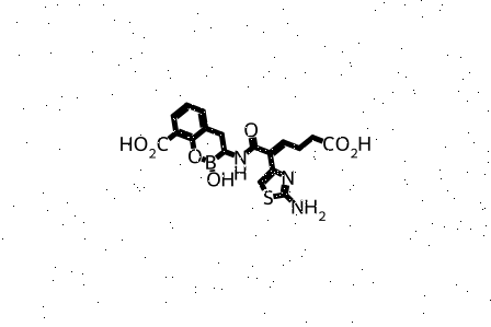 Nc1nc(C(=CCCC(=O)O)C(=O)NC2Cc3cccc(C(=O)O)c3OB2O)cs1